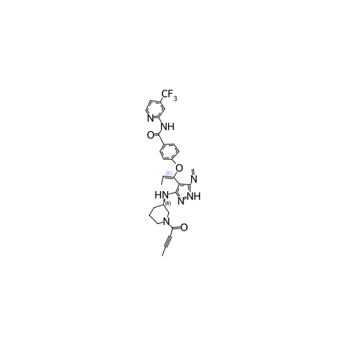 C=Nc1[nH]nc(N[C@@H]2CCCN(C(=O)C#CC)C2)c1/C(=C\C)Oc1ccc(C(=O)Nc2cc(C(F)(F)F)ccn2)cc1